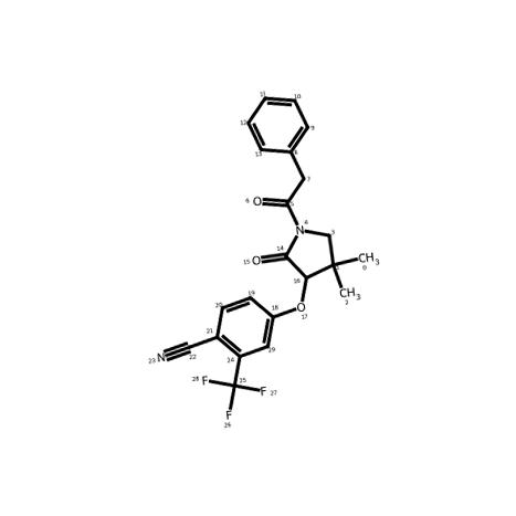 CC1(C)CN(C(=O)Cc2ccccc2)C(=O)C1Oc1ccc(C#N)c(C(F)(F)F)c1